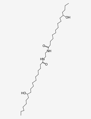 CCCCCCCC(O)CCCCCCCCCCC(=O)NCCNC(=O)CCCCCCCCCCC(O)CCCC